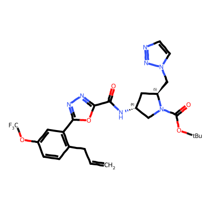 C=CCc1ccc(OC(F)(F)F)cc1-c1nnc(C(=O)N[C@@H]2C[C@@H](Cn3ccnn3)N(C(=O)OC(C)(C)C)C2)o1